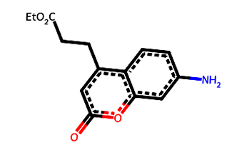 CCOC(=O)CCc1cc(=O)oc2cc(N)ccc12